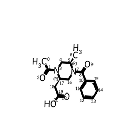 CC(=O)N1C[C@@H](C)N(C(=O)c2ccccc2)C[C@H]1CC(=O)O